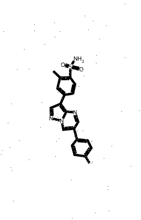 Cc1ccc(-c2cnc3c(-c4ccc(S(N)(=O)=O)c(C)c4)cnn3c2)cc1